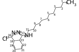 CCCCCCCCCCCCNC1=NN=C(Cl)C2C=CC=CC12